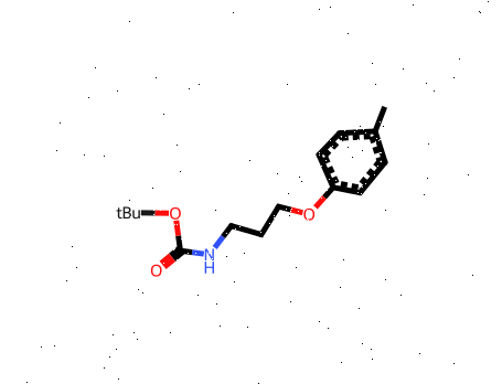 Cc1ccc(OCCCNC(=O)OC(C)(C)C)cc1